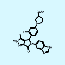 COC1CCN(c2ccc(C3c4c(nn(C)c4C)C(=O)N3c3ccc4[nH]cnc4c3)c(F)c2)C1